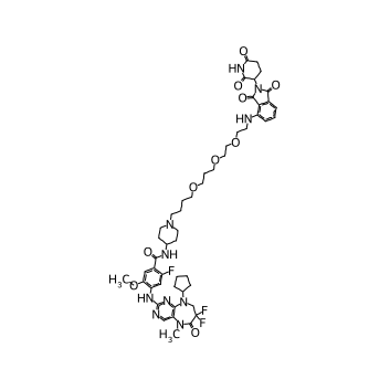 COc1cc(C(=O)NC2CCN(CCCCOCCCOCCOCCNc3cccc4c3C(=O)N(C3CCC(=O)NC3=O)C4=O)CC2)c(F)cc1Nc1ncc2c(n1)N(C1CCCC1)CC(F)(F)C(=O)N2C